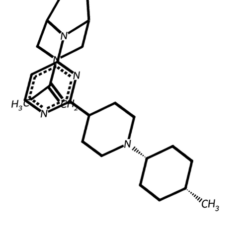 C=C(C)N1CC2CCC(C1)N2c1ccnc(C2CCN([C@H]3CC[C@@H](C)CC3)CC2)n1